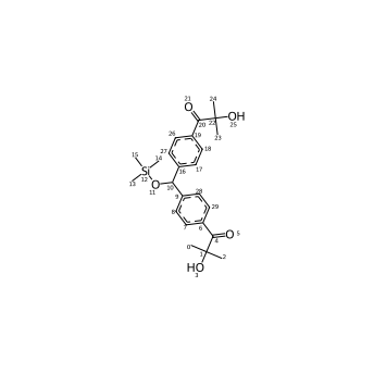 CC(C)(O)C(=O)c1ccc(C(O[Si](C)(C)C)c2ccc(C(=O)C(C)(C)O)cc2)cc1